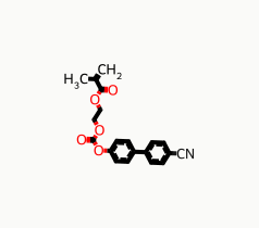 C=C(C)C(=O)OCCOC(=O)Oc1ccc(-c2ccc(C#N)cc2)cc1